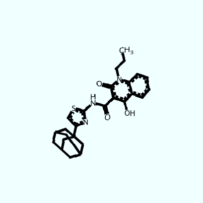 CCCn1c(=O)c(C(=O)Nc2nc(C34CC5CC(CC(C5)C3)C4)cs2)c(O)c2ccccc21